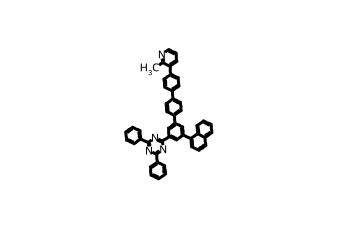 Cc1ncccc1-c1ccc(-c2ccc(-c3cc(-c4nc(-c5ccccc5)nc(-c5ccccc5)n4)cc(-c4cccc5ccccc45)c3)cc2)cc1